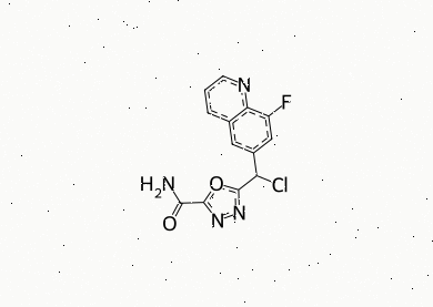 NC(=O)c1nnc(C(Cl)c2cc(F)c3ncccc3c2)o1